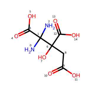 NC(N)(C(=O)O)C(O)(CC(=O)O)C(=O)O